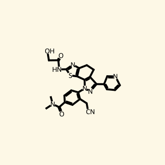 CN(C)C(=O)c1ccc(-n2nc(-c3cccnc3)c3c2-c2sc(NC(=O)CO)nc2CC3)c(CC#N)c1